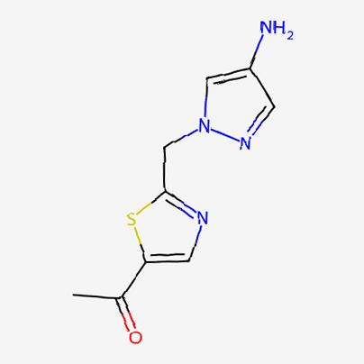 CC(=O)c1cnc(Cn2cc(N)cn2)s1